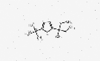 CCC(C)(CC)c1ccc(C(C)(C)C)s1